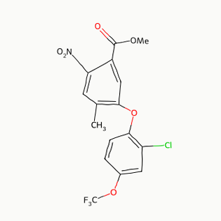 COC(=O)c1cc(Oc2ccc(OC(F)(F)F)cc2Cl)c(C)cc1[N+](=O)[O-]